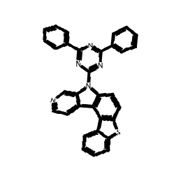 c1ccc(-c2nc(-c3ccccc3)nc(-n3c4cnccc4c4c5c(ccc43)sc3ccccc35)n2)cc1